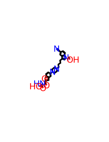 N#Cc1ccc2c(c1)c(CCCCN1CCN(c3ccc4oc(C(=O)NC(=O)O)cc4c3)CC1)cn2CO